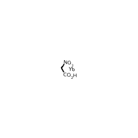 O=C(O)C[N+](=O)[O-].[Yb]